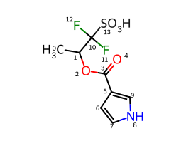 CC(OC(=O)c1cc[nH]c1)C(F)(F)S(=O)(=O)O